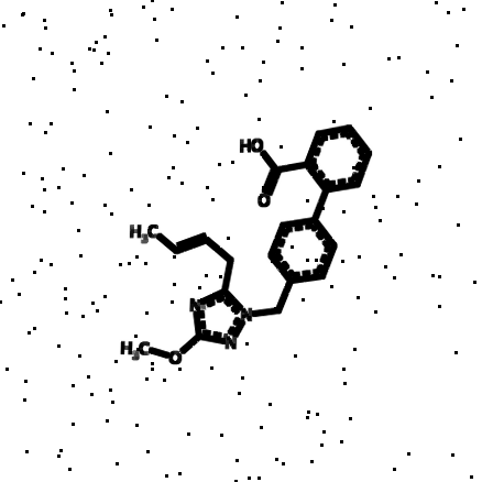 C/C=C/Cc1nc(OC)nn1Cc1ccc(-c2ccccc2C(=O)O)cc1